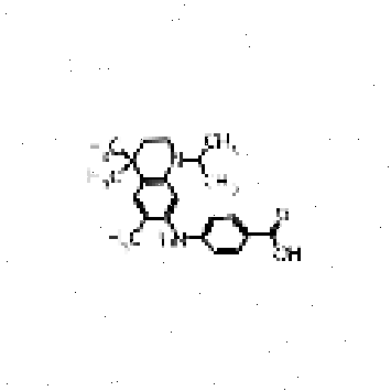 Cc1cc2c(cc1Nc1ccc(C(=O)O)cc1)N(C(C)C)CCC2(C)C